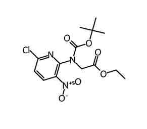 CCOC(=O)CN(C(=O)OC(C)(C)C)c1nc(Cl)ccc1[N+](=O)[O-]